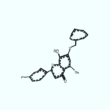 O=c1cc(-c2ccc(F)cc2)oc2c(O)c(OCc3ccccc3)cc(O)c12